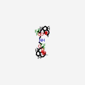 C[C@@H]1CC[C@H]2[C@@H](C)[C@](OCCNCCO[C@@]3(C(F)(F)F)O[C@@H]4O[C@]5(C)CC[C@H]6[C@H](C)CC[C@@H]([C@H]3C)[C@@]46OO5)(C(F)(F)F)O[C@@H]3O[C@]4(C)CC[C@@H]1[C@]32OO4